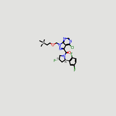 C[Si](C)(C)CCOCn1nc(C(=O)N2C[C@@H](F)C[C@@H]2c2cc(F)ccc2F)c2c(Cl)ncnc21